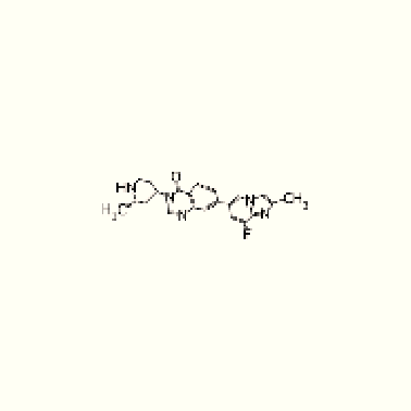 Cc1cn2cc(-c3ccc4c(=O)n([C@@H]5CCN[C@H](C)C5)cnc4c3)cc(F)c2n1